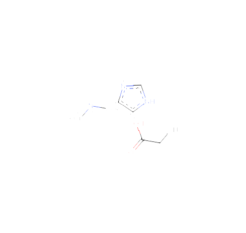 CCC(=O)O.CCCCCCCCNCCCCCCCC.c1c[nH]cn1